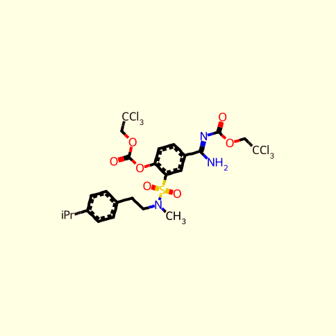 CC(C)c1ccc(CCN(C)S(=O)(=O)c2cc(C(N)=NC(=O)OCC(Cl)(Cl)Cl)ccc2OC(=O)OCC(Cl)(Cl)Cl)cc1